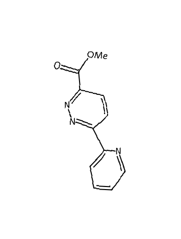 COC(=O)c1ccc(-c2ccccn2)nn1